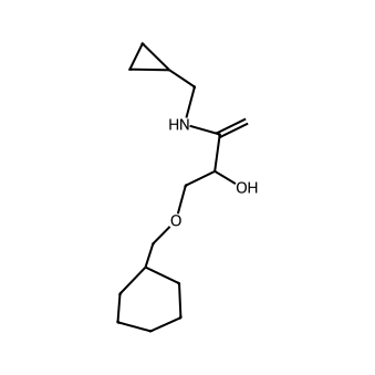 C=C(NCC1CC1)C(O)COCC1CCCCC1